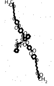 C=CC(=O)OCCCCCCOC1CCC(OC(=O)C2CCC(C(=O)Oc3c4c(c(OC(=O)C5CCC(C(=O)OC6CCC(OCCCCCCOC(=O)C=C)CC6)CC5)c5ccccc35)SC(=C3N=C(c5ccccc5)OC3=S)S4)CC2)CC1